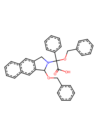 O=C(O)C(OCc1ccccc1)(c1ccccc1)N1Cc2cc3ccccc3cc2C1OCc1ccccc1